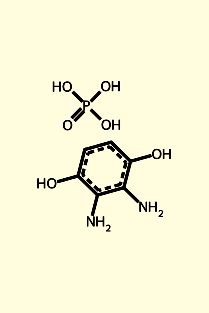 Nc1c(O)ccc(O)c1N.O=P(O)(O)O